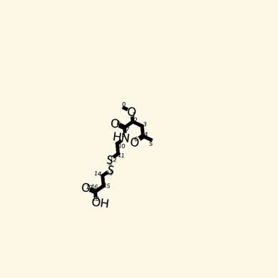 COC(CC(C)=O)C(=O)NCCSSCCC(=O)O